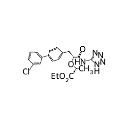 CCOC(=O)[C@H](C)O[C@@H](Cc1ccc(-c2cccc(Cl)c2)cc1)C(=O)Nc1nnn[nH]1